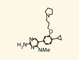 CNc1nc(N)ncc1-c1ccc(C2CC2)c(OCCCN2CCCC2)c1